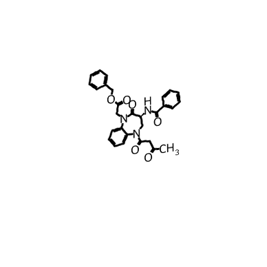 CC(=O)CC(=O)N1C[C@H](NC(=O)c2ccccc2)C(=O)N(CC(=O)OCc2ccccc2)c2ccccc21